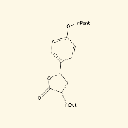 CCCCCCCCC1CC(c2ccc(OCCCCC)cc2)OC1=O